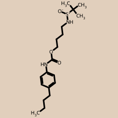 CCCCc1ccc(NC(=O)OCCCCN[S+]([O-])C(C)(C)C)cc1